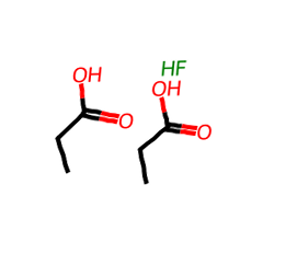 CCC(=O)O.CCC(=O)O.F